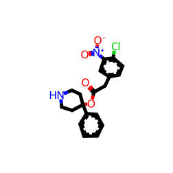 O=C(Cc1ccc(Cl)c([N+](=O)[O-])c1)OC1(c2ccccc2)CCNCC1